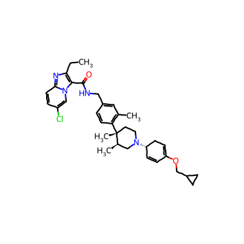 CCc1nc2ccc(Cl)cn2c1C(=O)NCc1ccc([C@]2(C)CCN([C@H]3C=CC(OCC4CC4)=CC3)C[C@H]2C)c(C)c1